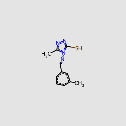 Cc1cccc(C=Nn2c(C)nnc2S)c1